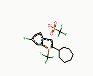 Fc1ccc2cc(C3CCCCCC3)[s+](C(F)(F)F)c2c1.O=S(=O)([O-])C(F)(F)F